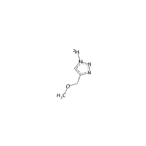 [2H]n1cc(COC)nn1